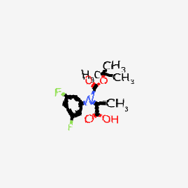 CC(C(=O)O)N(C(=O)OC(C)(C)C)c1cc(F)cc(F)c1